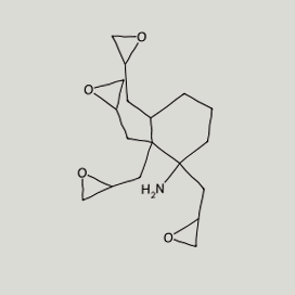 NC1(CC2CO2)CCCC(CC2CO2)C1(CC1CO1)CC1CO1